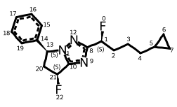 F[C@@H](CCCC1CC1)c1nc2n(n1)[C@H](c1ccccc1)C[C@@H]2F